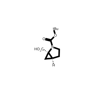 CC(C)(C)OC(=O)N1CC[C@H]2C[C@]21C(=O)O